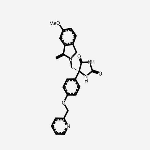 C=C1c2cc(OC)ccc2CN1C[C@@]1(c2ccc(OCc3ccccn3)cc2)NC(=O)NC1=O